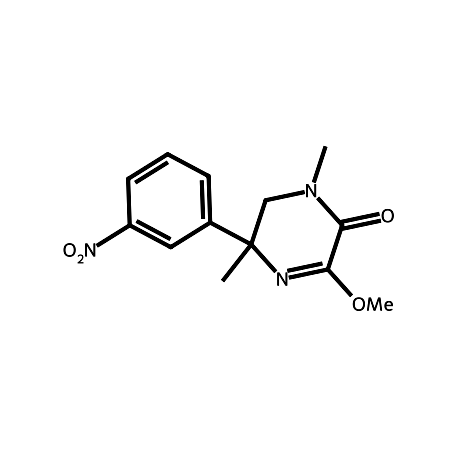 COC1=NC(C)(c2cccc([N+](=O)[O-])c2)CN(C)C1=O